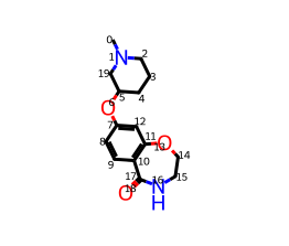 CN1CCCC(Oc2ccc3c(c2)OCCNC3=O)C1